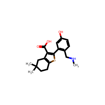 CNCc1ccc(O)cc1-c1sc2c(c1C(=O)O)CC(C)(C)CC2